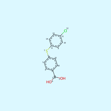 OB(O)c1ccc(Sc2ccc(Cl)cc2)cc1